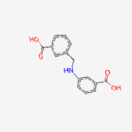 O=C(O)c1cccc(CNc2cccc(C(=O)O)c2)c1